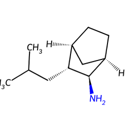 CC(C)C[C@@H]1[C@H]2CC[C@H](C2)[C@H]1N